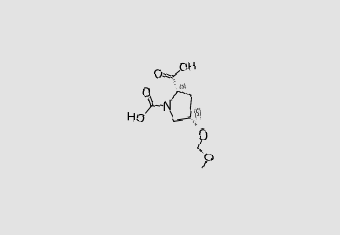 COCO[C@H]1C[C@@H](C(=O)O)N(C(=O)O)C1